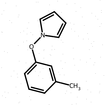 Cc1cccc(On2cccc2)c1